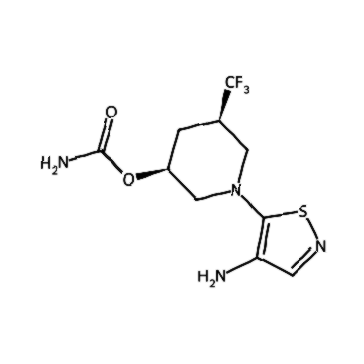 NC(=O)O[C@H]1C[C@@H](C(F)(F)F)CN(c2sncc2N)C1